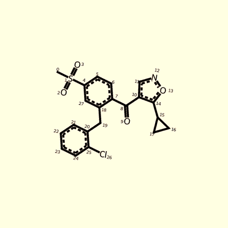 CS(=O)(=O)c1ccc(C(=O)c2cnoc2C2CC2)c(Cc2ccccc2Cl)c1